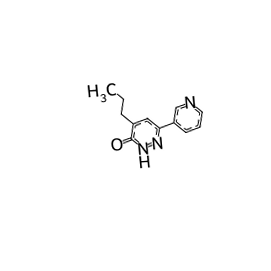 CCCc1cc(-c2cccnc2)n[nH]c1=O